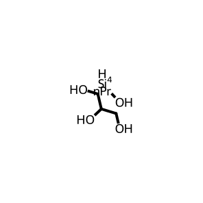 CCCO.OCC(O)CO.[SiH4]